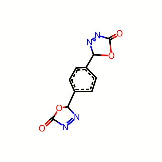 O=C1N=NC(c2ccc(C3N=NC(=O)O3)cc2)O1